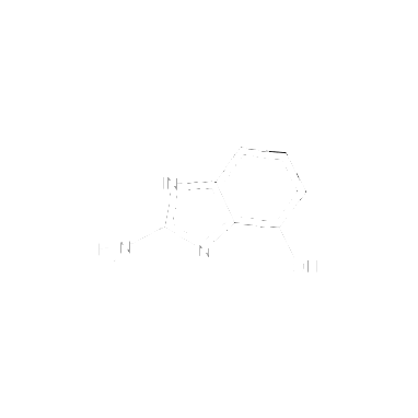 Nc1nc2c(O)cccc2[nH]1